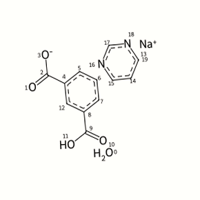 O.O=C([O-])c1cccc(C(=O)O)c1.[Na+].c1cncnc1